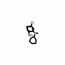 CN(c1cc(Cl)ccc1N)C1CCCCC1